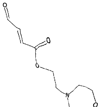 O=C/C=C/C(=O)OCCN1CCOCC1